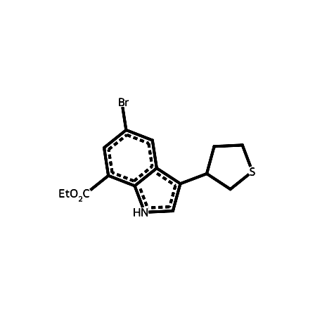 CCOC(=O)c1cc(Br)cc2c(C3CCSC3)c[nH]c12